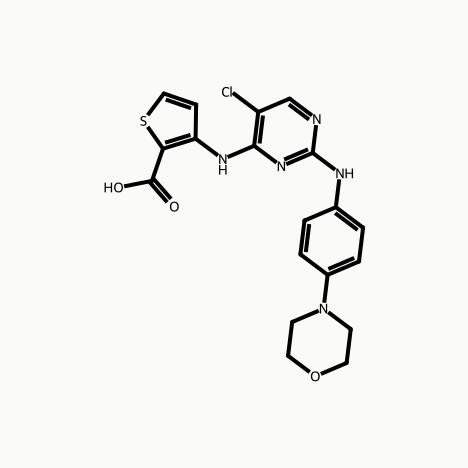 O=C(O)c1sccc1Nc1nc(Nc2ccc(N3CCOCC3)cc2)ncc1Cl